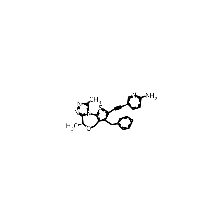 Cc1nnc2n1-c1sc(C#Cc3ccc(N)nc3)c(Cc3ccccc3)c1CO[C@H]2C